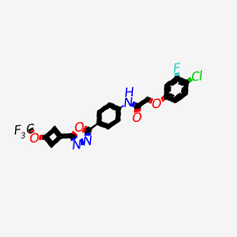 O=C(COc1ccc(Cl)c(F)c1)N[C@H]1CC[C@H](c2nnc(C3CC(OC(F)(F)F)C3)o2)CC1